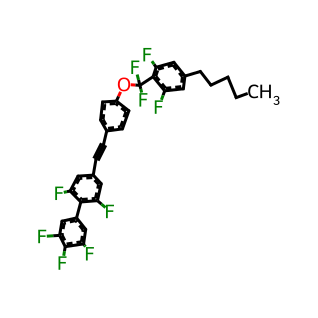 CCCCCc1cc(F)c(C(F)(F)Oc2ccc(C#Cc3cc(F)c(-c4cc(F)c(F)c(F)c4)c(F)c3)cc2)c(F)c1